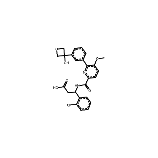 COc1ccc(C(=O)NC(CC(=O)O)c2ccccc2Cl)nc1-c1cccc(C2(O)COC2)c1